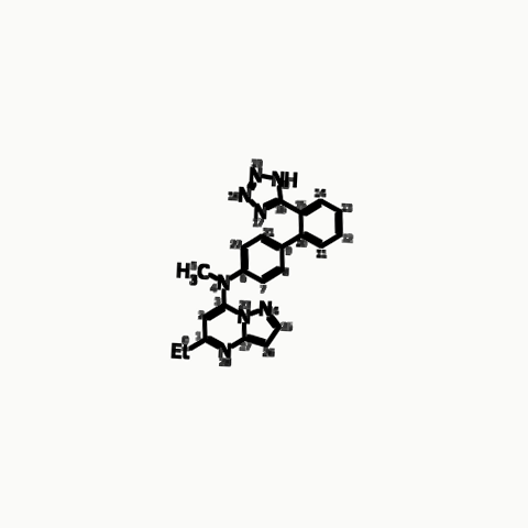 CCc1cc(N(C)c2ccc(-c3ccccc3-c3nnn[nH]3)cc2)n2nccc2n1